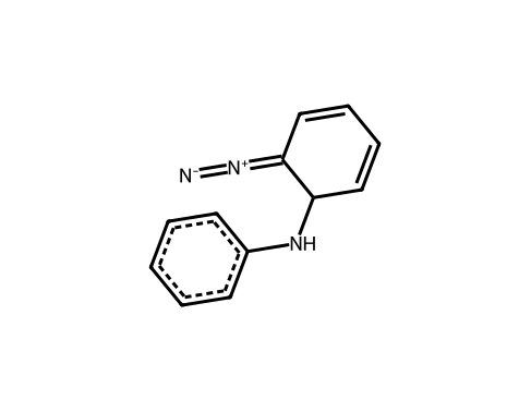 [N-]=[N+]=C1C=CC=CC1Nc1ccccc1